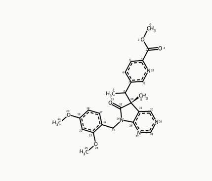 COC(=O)c1ccc(C(C)[C@@]2(C)C(=O)N(Cc3ccc(OC)cc3OC)c3ncncc32)cn1